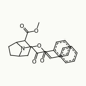 COC(=O)C1C(OC(=O)c2ccccc2)CC2CCC1N2CC(=O)C=Cc1ccccc1